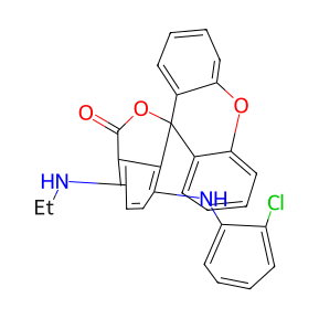 CCNc1ccc(Nc2ccccc2Cl)c2c1C(=O)OC21c2ccccc2Oc2ccccc21